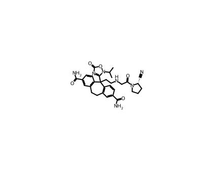 CC(C)n1oc(=O)nc1C1(CCNCC(=O)N2CCC[C@H]2C#N)c2ccc(C(N)=O)cc2CCc2cc(C(N)=O)ccc21